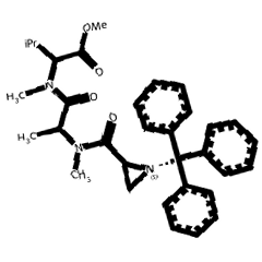 COC(=O)C(C(C)C)N(C)C(=O)C(C)N(C)C(=O)C1C[N@@]1C(c1ccccc1)(c1ccccc1)c1ccccc1